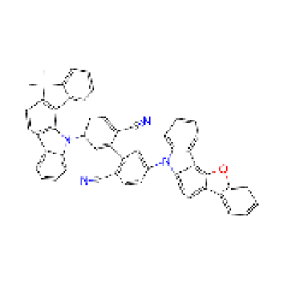 CC1(C)c2ccccc2-c2c1ccc1c3ccccc3n(C3C=C(c4cc(-n5c6ccccc6c6c7oc8ccccc8c7ccc65)ccc4C#N)C(C#N)=CC3)c21